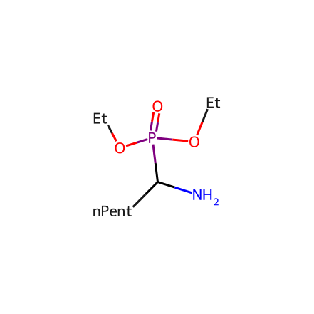 CCCCCC(N)P(=O)(OCC)OCC